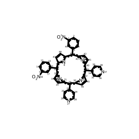 O=[N+]([O-])c1cccc(-c2c3nc(c(-c4cccc([N+](=O)[O-])c4)c4ccc([nH]4)c(-c4ccncc4)c4nc(c(-c5ccncc5)c5ccc2[nH]5)C=C4)C=C3)c1